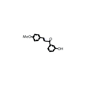 COc1ccc(/C=C/C(=O)c2cccc(O)c2)cc1